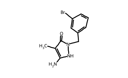 Cc1c(N)[nH]n(Cc2cccc(Br)c2)c1=O